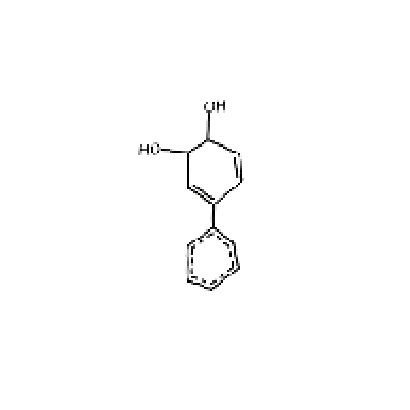 OC1C=CC(c2ccccc2)=CC1O